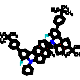 CC(C)(C)c1ccc(-c2cc(F)c(N(c3ccccc3)c3ccc4ccc5c(N(c6ccccc6)c6c(F)cc(-c7ccc(C(C)(C)C)cc7)cc6-c6ccc(C(C)(C)C)cc6)ccc6ccc3c4c65)c(-c3ccc(C(C)(C)C)cc3)c2)cc1